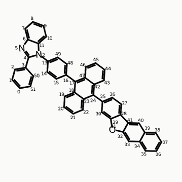 c1ccc(-c2nc3ccccc3n2-c2ccc(-c3c4ccccc4c(-c4ccc5c(c4)oc4cc6ccccc6cc45)c4ccccc34)cc2)cc1